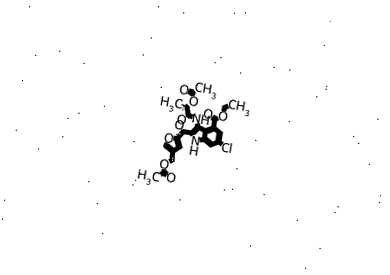 CCOC(=O)c1cc(Cl)cc2[nH]c(C(=O)c3cc(COC(C)=O)co3)c(NC(=O)[C@H](C)OC(C)=O)c12